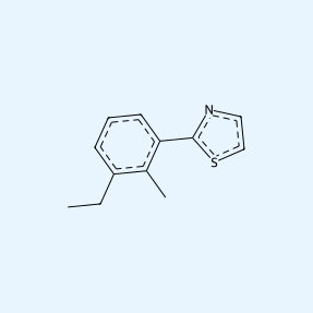 CCc1cccc(-c2nccs2)c1C